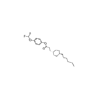 CCCCCC[C@H]1CC[C@H](CCC(=O)Oc2ccc(OC(F)F)cc2)CC1